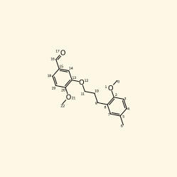 COc1ccc(C)cc1CCCOc1cc(C=O)ccc1OC